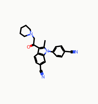 Cc1c(C(=O)CN2CCCCC2)c2ccc(C#N)cc2n1-c1ccc(C#N)cc1